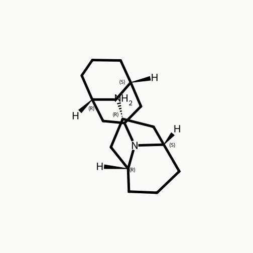 N[C@H]1C[C@H]2CCC[C@@H](C1)N2C1C[C@H]2CCC[C@@H](C1)C2